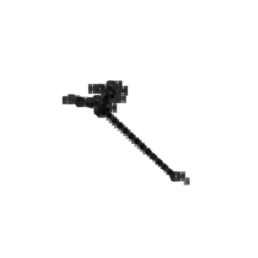 CC#CC#CC#CC#CC#CC#CC#CC#CC#CC#CC#CC#CC(=O)N[C@@H](COC1OC(CO)C(O)C(O)C1O)[C@H](O)[C@H](O)COCCOCCCC